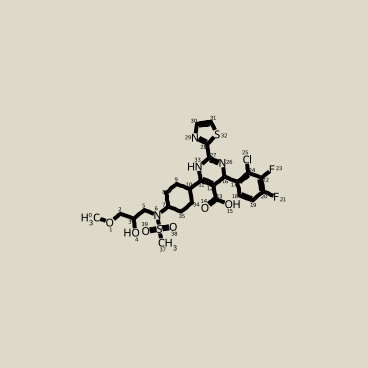 COCC(O)CN(C1CCC(C2=C(C(=O)O)C(c3ccc(F)c(F)c3Cl)N=C(c3nccs3)N2)CC1)S(C)(=O)=O